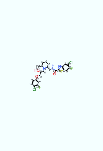 CCC1CCCC(CNC(=O)c2nc3cc(Cl)c(F)cc3s2)N1CC(O)COc1ccc(Cl)c(F)c1